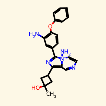 CC1(O)CC(C2=C3C=NC=C[N+]3(N)C(c3ccc(Oc4ccccc4)c(N)c3)=N2)C1